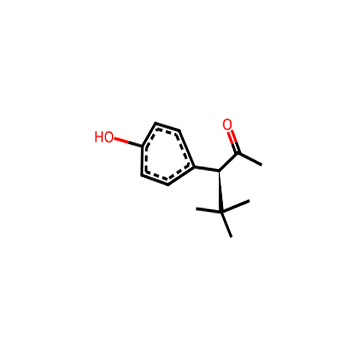 CC(=O)[C@H](c1ccc(O)cc1)C(C)(C)C